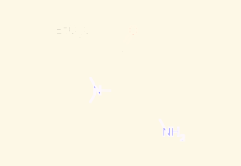 CCOC(=O)c1cn(C)c2cc(N)ccc2c1=O